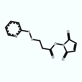 O=C(CCSSc1ccccn1)ON1C(=O)C=CC1=O